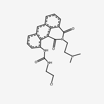 CN(C)CCN1C(=O)c2cccc3cc4cccc(NC(=O)NCCCl)c4c(c23)C1=O